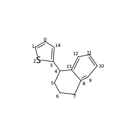 c1csc(C2CCCc3ccccc32)c1